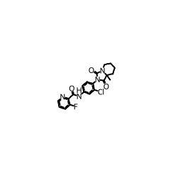 CC12CCCCN1C(=O)N(c1ccc(NC(=O)c3ncccc3F)cc1Cl)C2=O